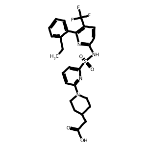 CCc1ccccc1-c1nc(NS(=O)(=O)c2cccc(N3CCC(CC(=O)O)CC3)n2)ccc1C(F)(F)F